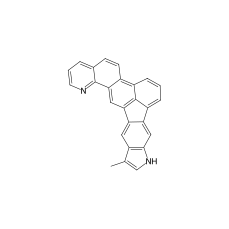 Cc1c[nH]c2cc3c(cc12)-c1cc2c(ccc4cccnc42)c2cccc-3c12